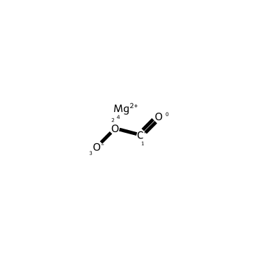 O=[C-]O[O-].[Mg+2]